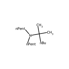 CCCCCN(CCCCC)C(C)(C)CCCC